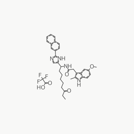 CCC(=O)CCCCCC(NC(=O)Cc1c(C)[nH]c2ccc(OC)cc12)c1cnc(-c2ccc3ccccc3c2)[nH]1.O=C(O)C(F)(F)F